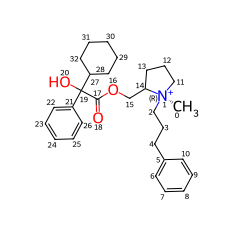 C[N@@+]1(CCCc2ccccc2)CCCC1COC(=O)C(O)(c1ccccc1)C1CCCCC1